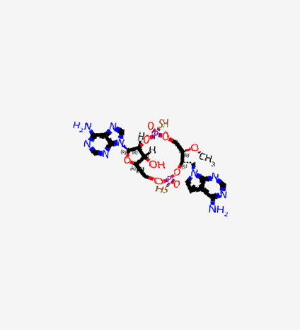 CO[C@@H]1COP(=O)(S)O[C@@H]2[C@H](O)[C@@H](COP(=O)(S)O[C@H]1Cn1ccc3c(N)ncnc31)O[C@H]2n1cnc2c(N)ncnc21